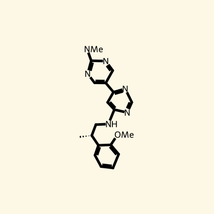 CNc1ncc(-c2cc(NC[C@@H](C)c3ccccc3OC)ncn2)cn1